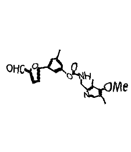 COc1c(C)cnc(CNC(=O)Oc2cc(C)cc(-c3ccc(C=O)o3)c2)c1C